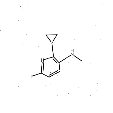 CNc1ccc(I)nc1C1CC1